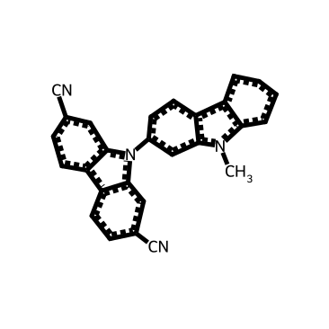 Cn1c2ccccc2c2ccc(-n3c4cc(C#N)ccc4c4ccc(C#N)cc43)cc21